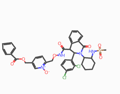 CS(=O)(=O)NC1CCCCC1N1C(=O)c2ccccc2C(C(=O)NOCc2ccc(COC(=O)c3ccccc3)c[n+]2[O-])C1c1ccc(Cl)cc1Cl